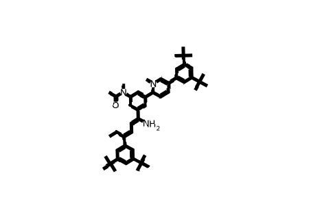 CC/C(=C\C=C(/N)C1=CC(C2C=CC(c3cc(C(C)(C)C)cc(C(C)(C)C)c3)=CN2C)=CC(N(C)C(C)=O)C1)c1cc(C(C)(C)C)cc(C(C)(C)C)c1